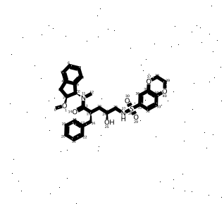 CO[C@H]1Cc2ccccc2[C@@H]1N(C)C(=O)[C@H](Cc1ccccc1)C[C@H](O)CNS(=O)(=O)c1ccc2c(c1)OCCO2